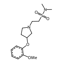 COc1ccccc1OC1CCN(CCS(=O)(=O)N(C)C)C1